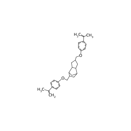 C=C(C)c1ccc(OCC2CC3C4CC(COc5ccc(C(=C)C)cc5)C(C4)C3C2)cc1